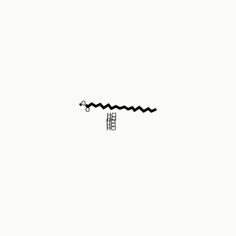 CCCCCCCCCCCCCCCCCC(=O)OC.Cl.Cl.Cl.Cl.Cl